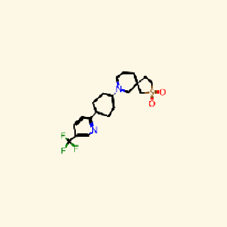 O=S1(=O)CC[C@@]2(CCCN([C@H]3CC[C@H](c4ccc(C(F)(F)F)cn4)CC3)C2)C1